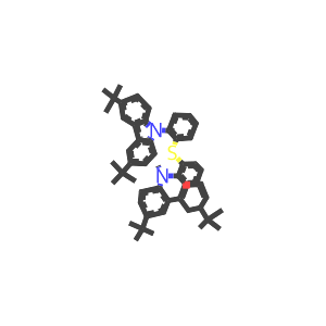 CN(c1ccccc1Sc1ccccc1-n1c2ccc(C(C)(C)C)cc2c2cc(C(C)(C)C)ccc21)c1ccc(C(C)(C)C)cc1C1=CC=CC(C(C)(C)C)C1